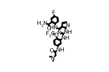 CN(C)CC(=O)Nc1ccc(OC(F)(F)F)c(Nc2nc(Nc3ccc(F)cc3C(N)=O)c3ccnc-3[nH]2)c1